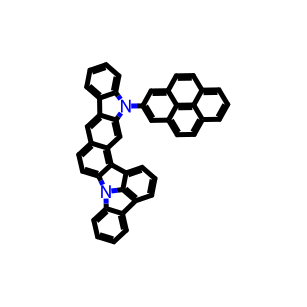 c1cc2ccc3cc(-n4c5ccccc5c5cc6ccc7c(c6cc54)c4cccc5c6ccccc6n7c54)cc4ccc(c1)c2c34